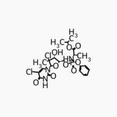 CC(C)OC(=O)[C@@H](C)NP(=O)(OC[C@H]1OC(n2cc(Cl)c(=O)[nH]c2=O)[C@](C)(Cl)[C@@H]1O)Oc1ccccc1